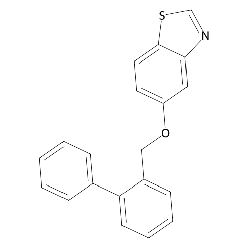 c1ccc(-c2ccccc2COc2ccc3scnc3c2)cc1